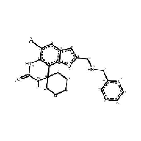 O=C1Nc2c(Cl)cc3cc(CNCc4ccccn4)oc3c2C2(CCCCC2)N1